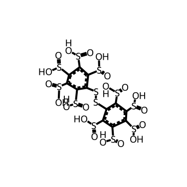 O=S(O)c1c(SSc2c(S(=O)O)c(S(=O)O)c(S(=O)O)c(S(=O)O)c2S(=O)O)c(S(=O)O)c(S(=O)O)c(S(=O)O)c1S(=O)O